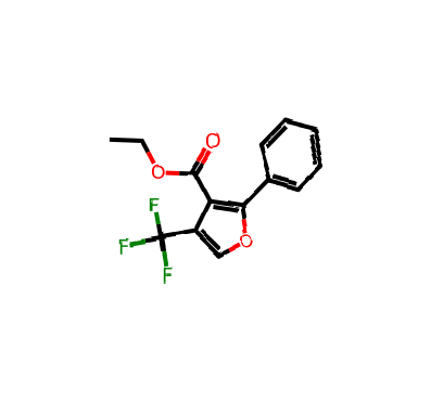 CCOC(=O)c1c(C(F)(F)F)coc1-c1ccccc1